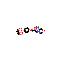 [2H]OC(COc1ccc(B2OC(C)(C)C(C)(C)O2)cc1)CN1CCOCC1